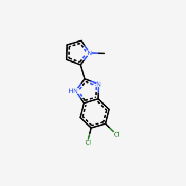 Cn1cccc1-c1nc2cc(Cl)c(Cl)cc2[nH]1